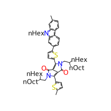 CCCCCCCCC(CCCCCC)CN1C(=O)C2=C(c3ccc(-c4ccc5c6ccc(C)cc6n(CCCCCC)c5c4)s3)N(CC(CCCCCC)CCCCCCCC)C(=O)C2=C1c1ccc(C)s1